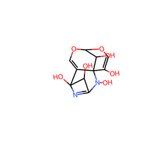 OC1=COC2OC=C3C4(O)N=C(C4O)N(O)C13C2O